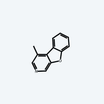 Cc1cncc2oc3ccccc3c12